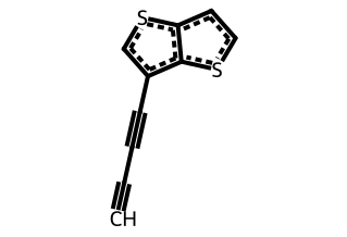 C#CC#Cc1csc2ccsc12